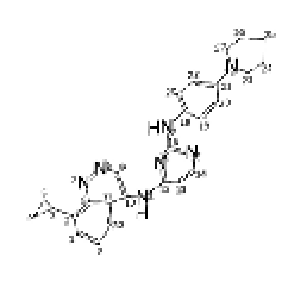 c1cc(C2CC2)c2nncc(Nc3ccnc(Nc4ccc(N5CCCCC5)cc4)n3)c2c1